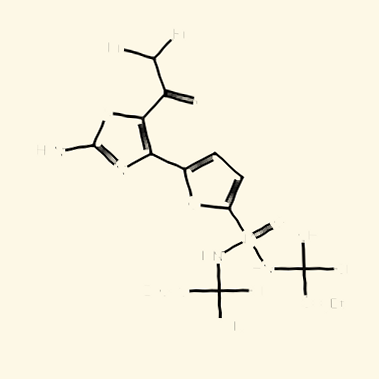 CCOC(=O)C(C)(C)NP(=O)(NC(C)(C)C(=O)OCC)c1ccc(-c2nc(N)sc2C(=O)C(CC)CC)o1